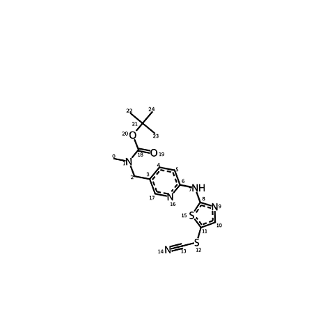 CN(Cc1ccc(Nc2ncc(SC#N)s2)nc1)C(=O)OC(C)(C)C